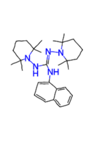 CC1(C)CCCC(C)(C)N1/N=C(\Nc1cccc2ccccc12)NN1C(C)(C)CCCC1(C)C